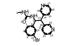 CNC(=O)NC(c1cccc(Br)c1)C(c1cccnc1)c1cccnc1